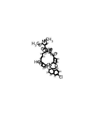 COc1nn(C)cc1C(=O)NC1[C@@H](C)C/C=C/[C@H](O)[C@@H]2CC[C@H]2CN2C[C@@]3(CCCc4cc(Cl)ccc43)COc3ccc(cc32)C(=O)/N=[SH]/1=O